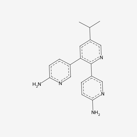 CC(C)c1cnc(-c2ccc(N)nc2)c(-c2ccc(N)nc2)c1